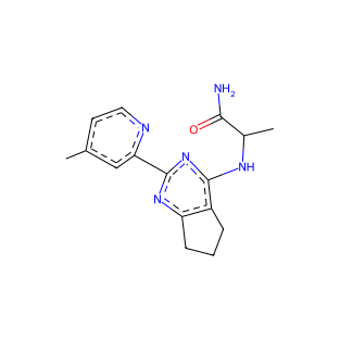 Cc1ccnc(-c2nc3c(c(NC(C)C(N)=O)n2)CCC3)c1